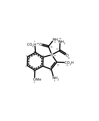 COc1ccc(C(=O)O)c2c1C(N)=C(C(=O)O)S2(C(N)=O)C(N)=O